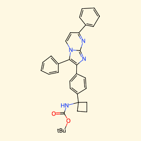 CC(C)(C)OC(=O)NC1(c2ccc(-c3nc4nc(-c5ccccc5)ccn4c3-c3ccccc3)cc2)CCC1